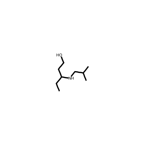 CCC(CCO)NCC(C)C